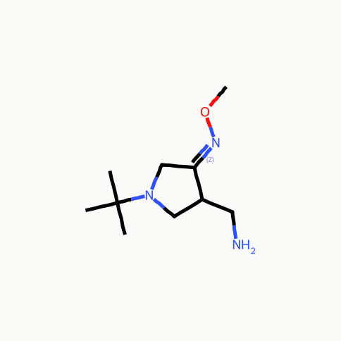 CO/N=C1\CN(C(C)(C)C)CC1CN